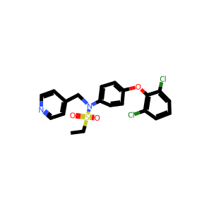 CCS(=O)(=O)N(Cc1ccncc1)c1ccc(Oc2c(Cl)cccc2Cl)cc1